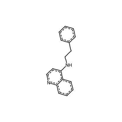 c1ccc(CCNc2ccnc3ccccc23)cc1